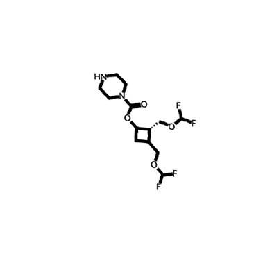 O=C(OC1CC(COC(F)F)[C@H]1COC(F)F)N1CCNCC1